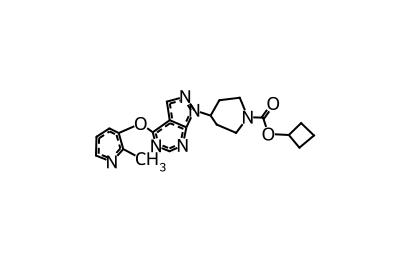 Cc1ncccc1Oc1ncnc2c1cnn2C1CCN(C(=O)OC2CCC2)CC1